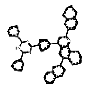 c1ccc(C2=NC(c3ccc(-c4cc(-c5ccc6ccccc6c5)nc5c4cc(-c4ccc6ccccc6c4)c4ccccc45)cc3)=NC(c3ccccc3)N2)cc1